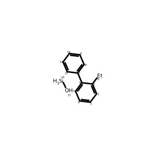 CCc1ccccc1-c1ccccc1.O[SiH3]